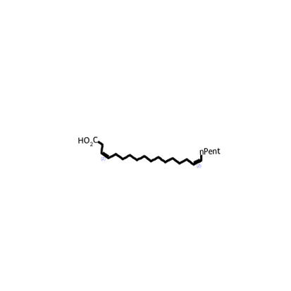 CCCCC/C=C\CCCCCCCCCCC/C=C\CC(=O)O